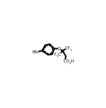 CC(C)(C)c1ccc(OC(CC(=O)O)(C(F)(F)F)C(F)(F)F)cc1